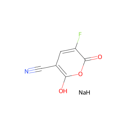 N#Cc1cc(F)c(=O)oc1O.[NaH]